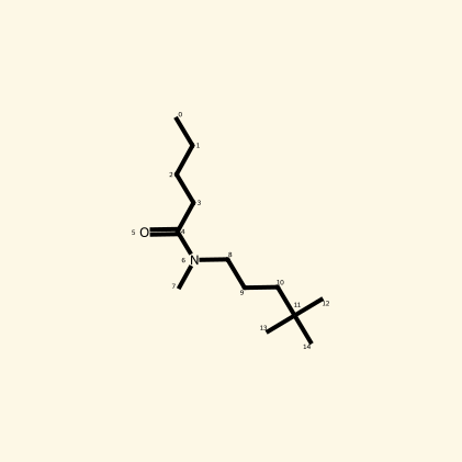 CCCCC(=O)N(C)CCCC(C)(C)C